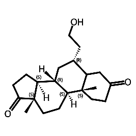 C[C@]12CCC(=O)CC1[C@@H](CCO)C[C@@H]1[C@@H]2CC[C@]2(C)C(=O)CC[C@@H]12